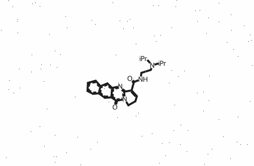 CC(C)N(CCNC(=O)C1=CCCn2c1nc1cc3ccccc3cc1c2=O)C(C)C